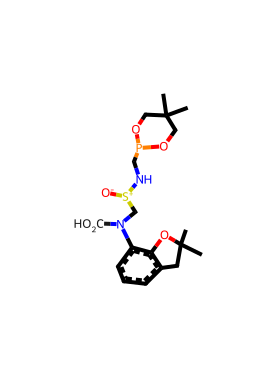 CC1(C)COP(CN[S+]([O-])CN(C(=O)O)c2cccc3c2OC(C)(C)C3)OC1